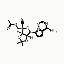 CC(=O)OC[C@@]1(C#N)O[C@@H](c2ccc3c(N)ncnn23)[C@@H]2OC(C)(C)O[C@@H]21